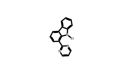 CCn1c2ccccc2c2c[c]cc(-c3ncccn3)c21